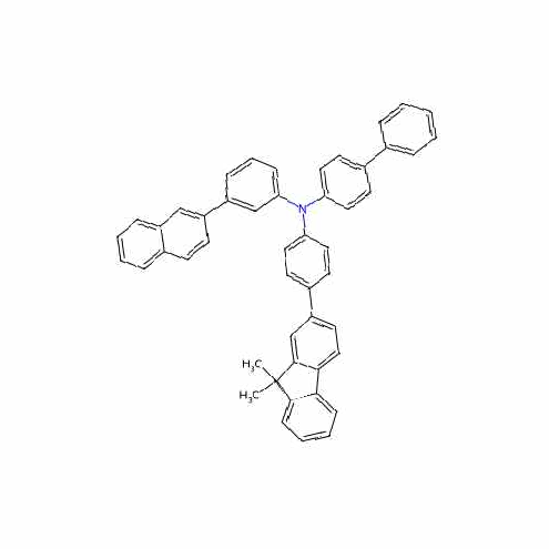 CC1(C)c2ccccc2-c2ccc(-c3ccc(N(c4ccc(-c5ccccc5)cc4)c4cccc(-c5ccc6ccccc6c5)c4)cc3)cc21